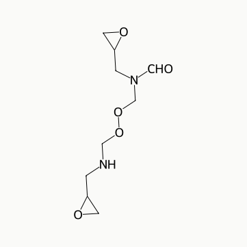 O=CN(COOCNCC1CO1)CC1CO1